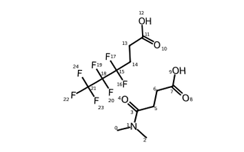 CN(C)C(=O)CCC(=O)O.O=C(O)CCC(F)(F)C(F)(F)C(F)(F)F